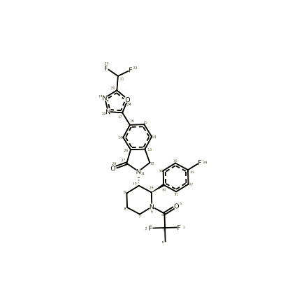 CC(F)(F)C(=O)N1CCC[C@H](N2Cc3ccc(-c4nnc(C(F)F)o4)cc3C2=O)[C@H]1c1ccc(F)cc1